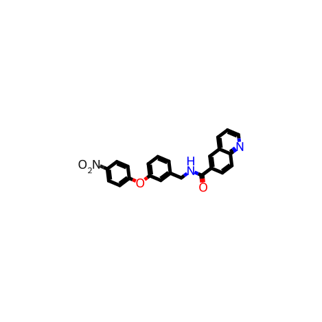 O=C(NCc1cccc(Oc2ccc([N+](=O)[O-])cc2)c1)c1ccc2ncccc2c1